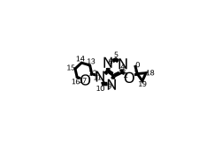 CC1(Oc2ncnc3c2ncn3C2CCCCO2)CC1